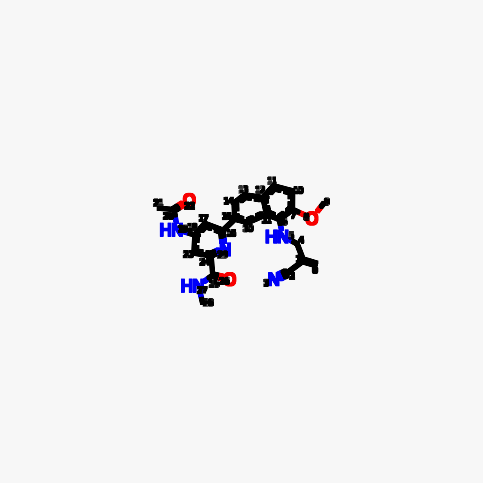 C=C(C#N)CNc1c(OC)ccc2ccc(-c3cc(NC(C)=O)cc(C(=O)NC)n3)cc12